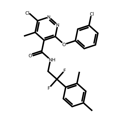 Cc1ccc(C(F)(F)CNC(=O)c2c(Oc3cccc(Cl)c3)nnc(Cl)c2C)c(C)c1